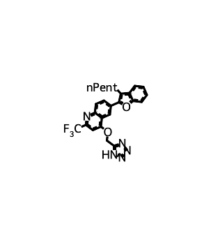 CCCCCc1c(-c2ccc3nc(C(F)(F)F)cc(OCc4nnn[nH]4)c3c2)oc2ccccc12